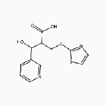 O=C(O)C(CSc1nccs1)C(O)c1cccnc1